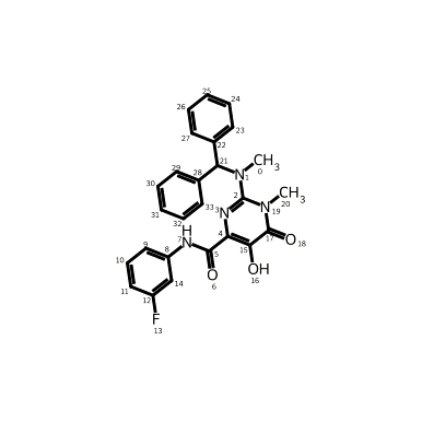 CN(c1nc(C(=O)Nc2cccc(F)c2)c(O)c(=O)n1C)C(c1ccccc1)c1ccccc1